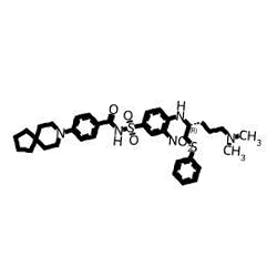 CN(C)CCC[C@H](CSc1ccccc1)Nc1ccc(S(=O)(=O)NC(=O)c2ccc(N3CCC4(CCCC4)CC3)cc2)cc1[N+](=O)[O-]